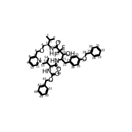 CC(C)[C@H](COCc1ccccn1)NC(=O)C(F)(F)C(O)C(Cc1ccc(OCc2ccccc2)cc1)NC(=O)[C@@H](NC(=O)OCc1ccccc1)C(C)C